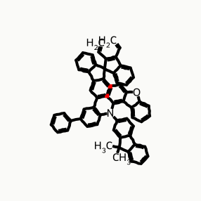 C=CC1=C(C=C)C2(c3ccccc31)c1ccccc1-c1cc(-c3cc(-c4ccccc4)ccc3N(c3ccc4c(c3)C(C)(C)c3ccccc3-4)c3cccc4oc5ccccc5c34)ccc12